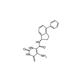 C=C1NC(=O)NC(C(=O)N[C@@H]2CCc3c(-c4ccccc4)cccc32)=C1N